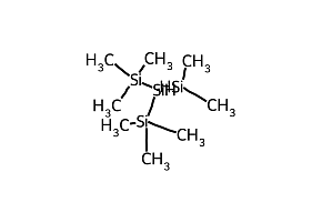 C[SiH](C)[SiH]([Si](C)(C)C)[Si](C)(C)C